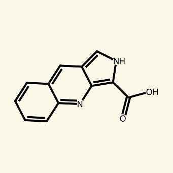 O=C(O)c1[nH]cc2cc3ccccc3nc12